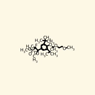 COCCOCOc1c(C(C)(C)C)cc(C(=O)C(C)(F)P(=O)(OC)OC)cc1C(C)(C)C